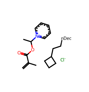 C=C(C)C(=O)OC(C)[n+]1ccccc1.CCCCCCCCCCCCC1CCC1.[Cl-]